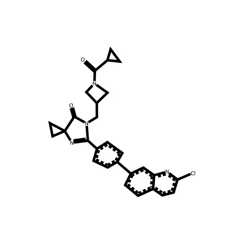 O=C(C1CC1)N1CC(CN2C(=O)C3(CC3)N=C2c2ccc(-c3ccc4ccc(Cl)nc4c3)cc2)C1